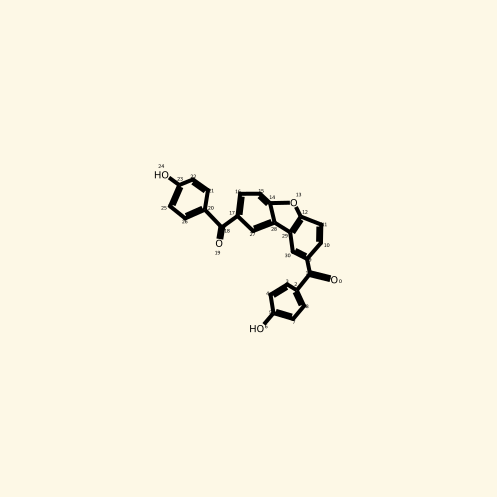 O=C(c1ccc(O)cc1)c1ccc2oc3ccc(C(=O)c4ccc(O)cc4)cc3c2c1